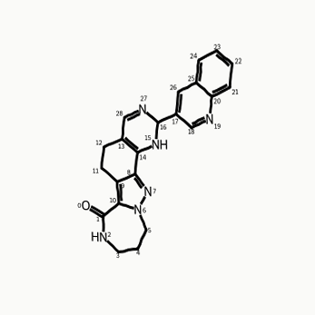 O=C1NCCCn2nc3c(c21)CCC1=C3NC(c2cnc3ccccc3c2)N=C1